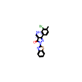 Cc1ccc(C2=NN(c3nc4ccccc4s3)C(=O)/C2=C/N)cc1Br